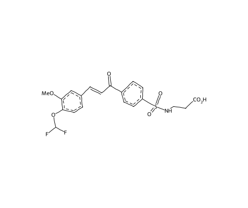 COc1cc(/C=C/C(=O)c2ccc(S(=O)(=O)NCCC(=O)O)cc2)ccc1OC(F)F